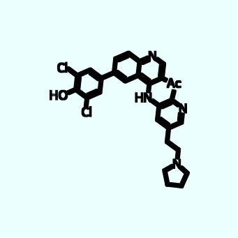 CC(=O)c1cnc2ccc(-c3cc(Cl)c(O)c(Cl)c3)cc2c1Nc1cc(CCN2CCCC2)cnc1C